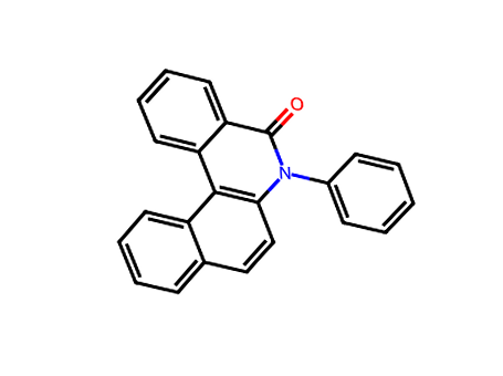 O=c1c2ccccc2c2c3ccccc3ccc2n1-c1ccccc1